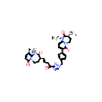 C[C@@H]1CCn2c(ccc(-c3ccc(Cn4cnc(C(=O)C/C=C/[C@H]5CCn6c(cccc6=O)N(C)C5=O)n4)cc3)c2=O)N(C)C1=O